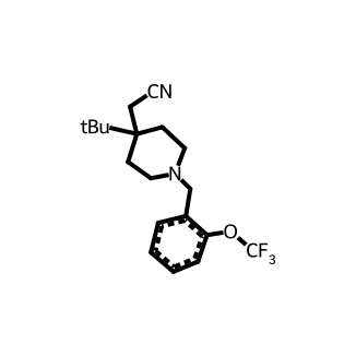 CC(C)(C)C1(CC#N)CCN(Cc2ccccc2OC(F)(F)F)CC1